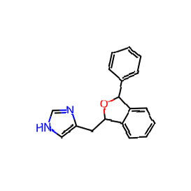 c1ccc(C2OC(Cc3c[nH]cn3)c3ccccc32)cc1